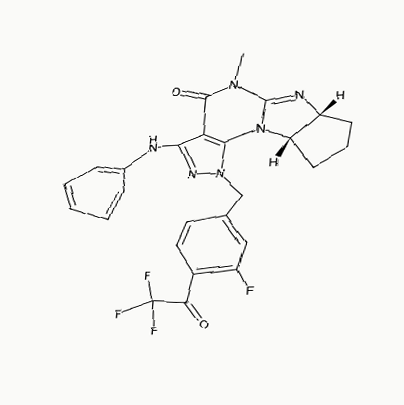 CN1C(=O)c2c(Nc3ccccc3)nn(Cc3ccc(C(=O)C(F)(F)F)c(F)c3)c2N2C1=N[C@@H]1CCC[C@@H]12